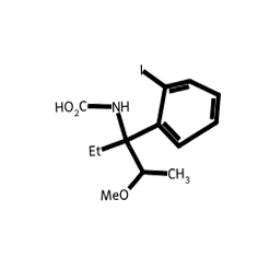 CCC(NC(=O)O)(c1ccccc1I)C(C)OC